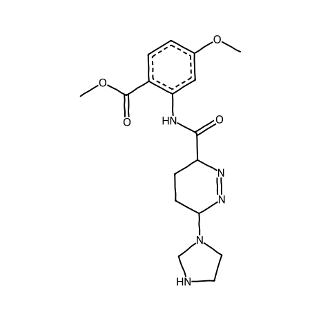 COC(=O)c1ccc(OC)cc1NC(=O)C1CCC(N2CCNC2)N=N1